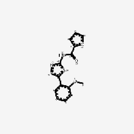 COc1ccccc1-c1nnc(NC(=O)c2ccco2)s1